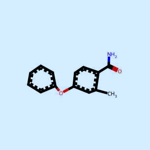 Cc1cc(Oc2ccccc2)ccc1C(N)=O